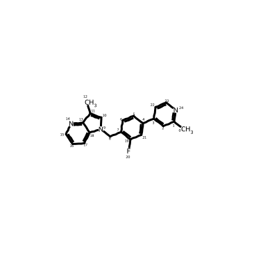 Cc1cc(-c2ccc(Cn3cc(C)c4ncccc43)c(F)c2)ccn1